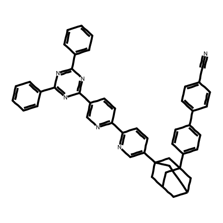 N#Cc1ccc(-c2ccc(C34CC5CC(C3)CC(c3ccc(-c6ccc(-c7nc(-c8ccccc8)nc(-c8ccccc8)n7)cn6)nc3)(C5)C4)cc2)cc1